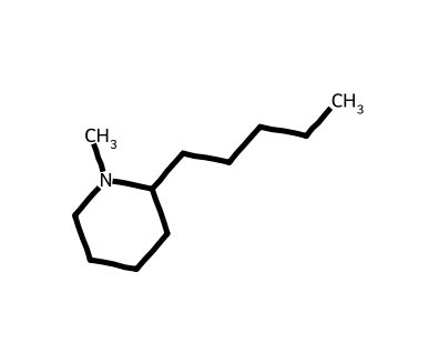 CCCCCC1CCCCN1C